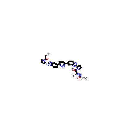 COC(=O)N[C@H](C(=O)N1CCC[C@H]1c1nc2ccc(-c3ccc(-c4ccc5[nH]c([C@@H]6CCCN6C(=O)CC(C)C)nc5c4)nn3)cc2[nH]1)C(C)C